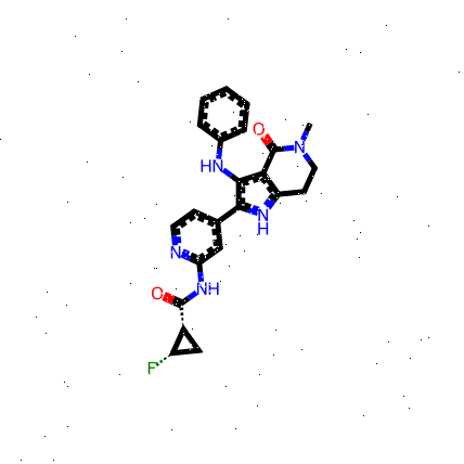 CN1CCc2[nH]c(-c3ccnc(NC(=O)[C@@H]4C[C@@H]4F)c3)c(Nc3ccccc3)c2C1=O